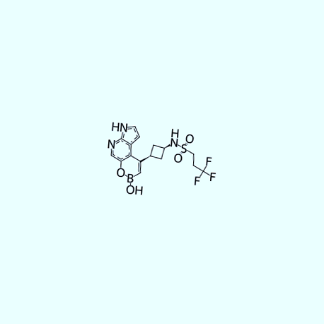 O=S(=O)(CCC(F)(F)F)N[C@H]1C[C@@H](C2=CB(O)Oc3cnc4[nH]ccc4c32)C1